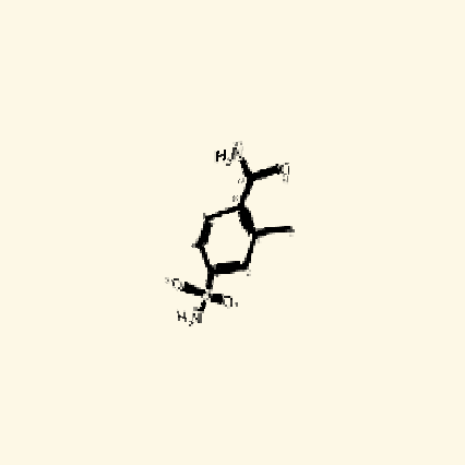 Cc1cc(S(N)(=O)=O)ccc1C(N)=O